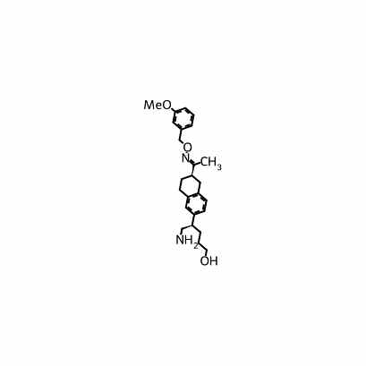 COc1cccc(CO/N=C(\C)[C@@H]2CCc3cc([C@H](CN)CCCO)ccc3C2)c1